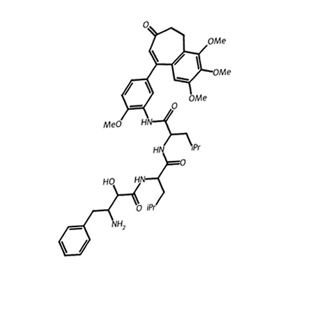 COc1ccc(C2=CC(=O)CCc3c2cc(OC)c(OC)c3OC)cc1NC(=O)C(CC(C)C)NC(=O)C(CC(C)C)NC(=O)C(O)C(N)Cc1ccccc1